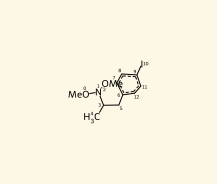 CON(OC)C(C)Cc1ccc(I)cc1